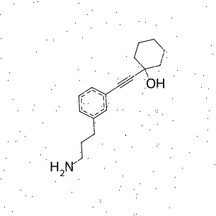 NCCCc1cccc(C#CC2(O)CCCCC2)c1